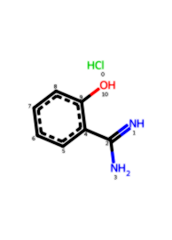 Cl.N=C(N)c1ccccc1O